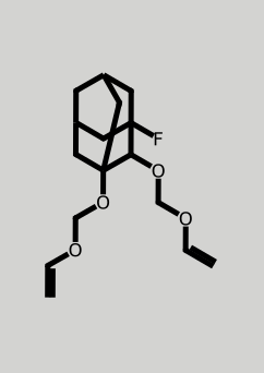 C=COCOC1C2(F)CC3CC(C2)CC1(OCOC=C)C3